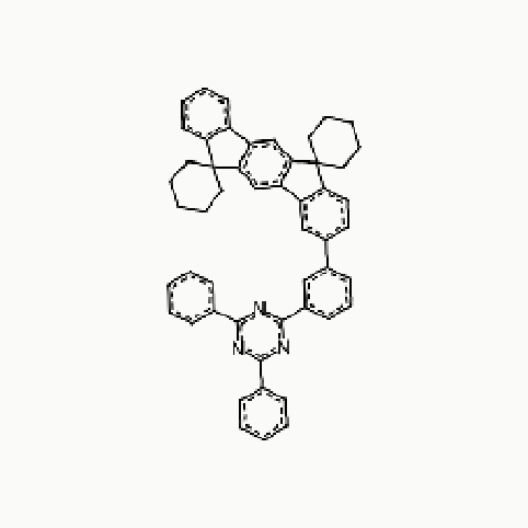 c1ccc(-c2nc(-c3ccccc3)nc(-c3cccc(-c4ccc5c(c4)-c4cc6c(cc4C54CCCCC4)-c4ccccc4C64CCCCC4)c3)n2)cc1